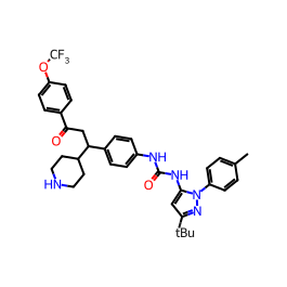 Cc1ccc(-n2nc(C(C)(C)C)cc2NC(=O)Nc2ccc(C(CC(=O)c3ccc(OC(F)(F)F)cc3)C3CCNCC3)cc2)cc1